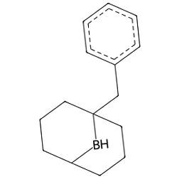 B1C2CCCC1(Cc1ccccc1)CCC2